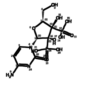 Nc1ccn([C@@H]2O[C@H](CO)[C@](O)(P(=O)(O)O)[C@@]2(O)P(=O)(O)O)c(=O)n1